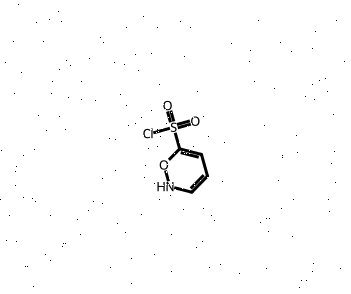 O=S(=O)(Cl)C1=CC=CNO1